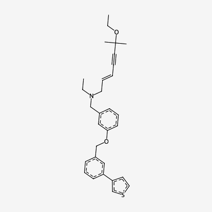 CCOC(C)(C)C#CC=CCN(CC)Cc1cccc(OCc2cccc(-c3ccsc3)c2)c1